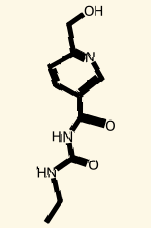 CCNC(=O)NC(=O)c1ccc(CO)nc1